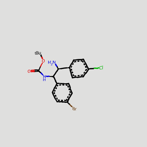 CC(C)(C)OC(=O)NC(c1ccc(Br)cc1)C(N)c1ccc(Cl)cc1